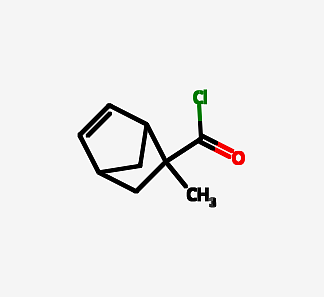 CC1(C(=O)Cl)CC2C=CC1C2